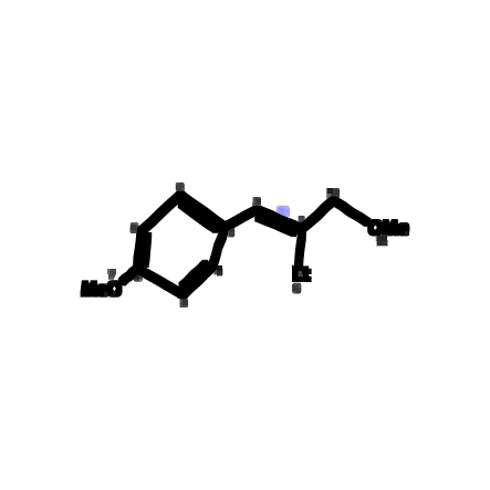 CC/C(=C\c1ccc(OC)cc1)COC